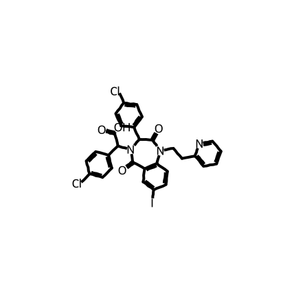 O=C(O)C(c1ccc(Cl)cc1)N1C(=O)c2cc(I)ccc2N(CCc2ccccn2)C(=O)C1c1ccc(Cl)cc1